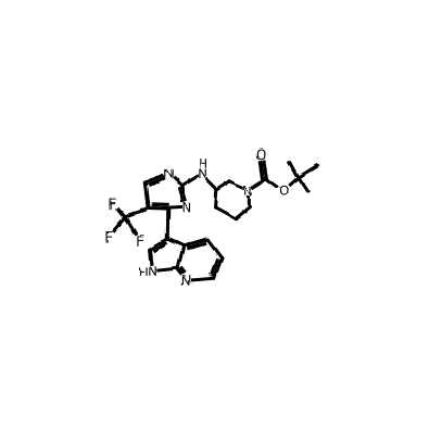 CC(C)(C)OC(=O)N1CCCC(Nc2ncc(C(F)(F)F)c(-c3c[nH]c4ncccc34)n2)C1